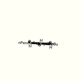 CCCCCC(=O)NCCOCCOCC(=O)NCCOCCOCC(=O)NCCCC